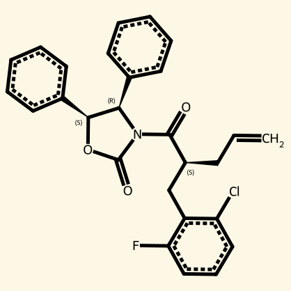 C=CC[C@@H](Cc1c(F)cccc1Cl)C(=O)N1C(=O)O[C@@H](c2ccccc2)[C@H]1c1ccccc1